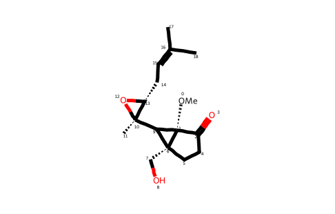 CO[C@]12C(=O)CC[C@@]1(CO)C2[C@@]1(C)O[C@@H]1CC=C(C)C